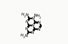 NC1=NC2=NC(N)N=C3N=CN=C(N1N)N32